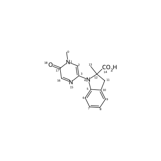 Cn1cc(N2c3ccccc3CC2(C)C(=O)O)ncc1=O